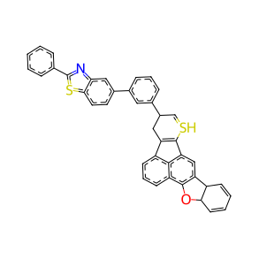 C1=CC2Oc3c(cc4c5c(cccc35)C3=C4[SH]=CC(c4cccc(-c5ccc6sc(-c7ccccc7)nc6c5)c4)C3)C2C=C1